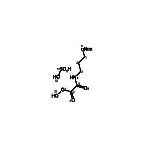 CCCCCCCCCCCCNC(=O)C(=O)OO.O=S(=O)(O)O